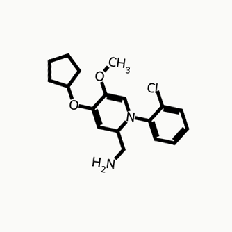 COC1=CN(c2ccccc2Cl)C(CN)C=C1OC1CCCC1